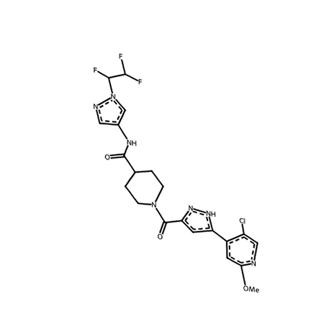 COc1cc(-c2cc(C(=O)N3CCC(C(=O)Nc4cnn(C(F)C(F)F)c4)CC3)n[nH]2)c(Cl)cn1